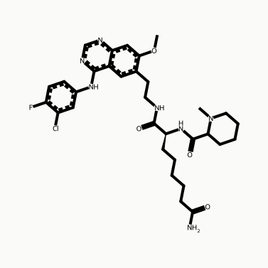 COc1cc2ncnc(Nc3ccc(F)c(Cl)c3)c2cc1CCNC(=O)[C@H](CCCCCC(N)=O)NC(=O)C1CCCCN1C